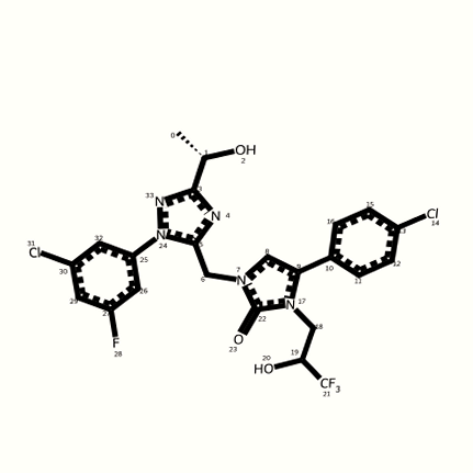 C[C@H](O)c1nc(Cn2cc(-c3ccc(Cl)cc3)n(CC(O)C(F)(F)F)c2=O)n(-c2cc(F)cc(Cl)c2)n1